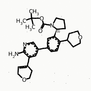 CC(C)(C)OC(=O)N1CCC[C@H]1c1cc(-c2cnc(N)c(C3=CCOCC3)c2)ccc1C1CCOCC1